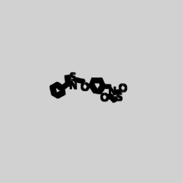 O=C1CSC(=O)N1Cc1ccc(OCc2nc(-c3ccccc3)cs2)cc1